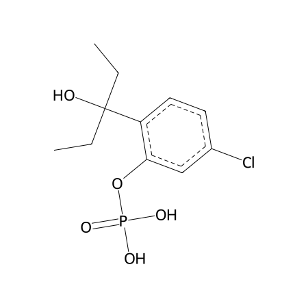 CCC(O)(CC)c1ccc(Cl)cc1OP(=O)(O)O